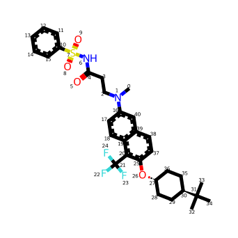 CN(CCC(=O)NS(=O)(=O)c1ccccc1)c1ccc2c(C(F)(F)F)c(O[C@H]3CC[C@H](C(C)(C)C)CC3)ccc2c1